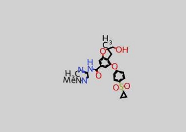 C/N=C(\C=N/NC)NC(=O)c1cc(Oc2ccc(S(=O)(=O)C3CC3)cc2)c2c(c1)OC(C)(CO)C2